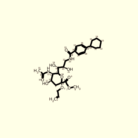 C=CCO[C@]1(C(=O)OC)C[C@@H](O)[C@@H](NC(C)=O)C([C@H](O)[C@H](O)CNC(=O)c2ccc(C3CCCCC3)cc2)O1